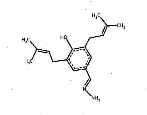 CC(C)=CCc1cc(C=NN)cc(CC=C(C)C)c1O